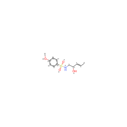 CC=CC(O)CNS(=O)(=O)c1ccc(OC)cc1